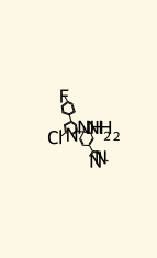 Cn1cc(C2=CC(N)C(N)(c3cc(-c4ccc(F)cc4)cc(Cl)n3)C=C2)cn1